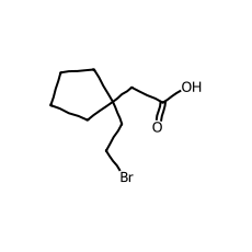 O=C(O)CC1(CCBr)CCCC1